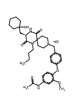 CCCCN1C(=O)[C@@H](CC2(O)CCCCC2)NC(=O)C12CCN(Cc1ccc(Oc3ccc(NC(C)=O)cc3OC)cc1)CC2.Cl